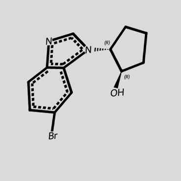 O[C@@H]1CCC[C@H]1n1cnc2ccc(Br)cc21